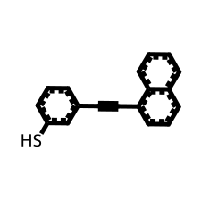 Sc1cccc(C#Cc2cccc3ccccc23)c1